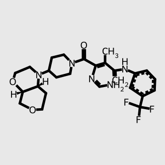 C=C(Nc1cccc(C(F)(F)F)c1)/C(C)=C(\N=C/N)C(=O)N1CCC(N2CCO[C@H]3COCC[C@H]32)CC1